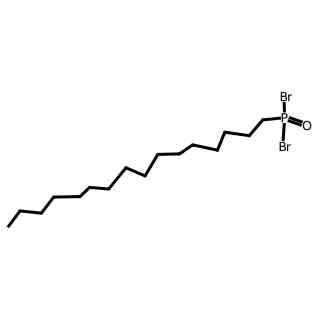 CCCCCCCCCCCCCCCCP(=O)(Br)Br